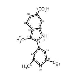 Cc1cc(-c2[nH]c3cc(C(=O)O)ccc3c2C)cc(C)n1